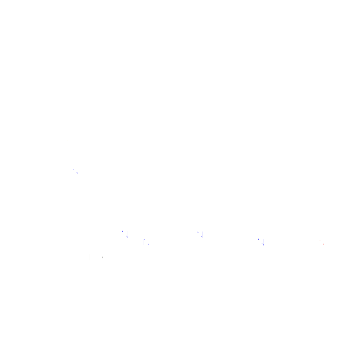 Cn1nc(C(=O)NCCN2CCOCC2)cc1-c1cn(S(=O)(=O)c2ccccc2)c2ccccc12